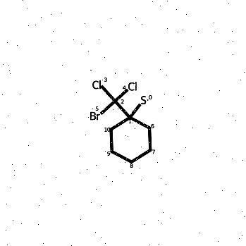 [S]C1(C(Cl)(Cl)Br)CCCCC1